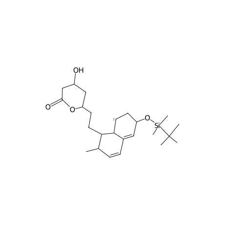 CC1C=CC2=CC(O[Si](C)(C)C(C)(C)C)C[C]C2C1CCC1CC(O)CC(=O)O1